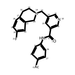 CC(=O)c1ccc(NC(=O)c2cncc(CN3CCc4ccc(F)cc4C3)c2)cc1